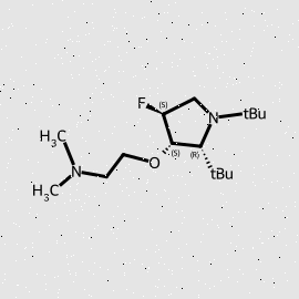 CN(C)CCO[C@H]1[C@@H](C(C)(C)C)N(C(C)(C)C)C[C@@H]1F